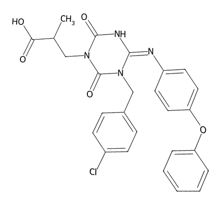 CC(Cn1c(=O)[nH]c(=Nc2ccc(Oc3ccccc3)cc2)n(Cc2ccc(Cl)cc2)c1=O)C(=O)O